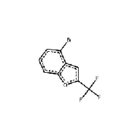 FC(F)(F)c1cc2c(Br)cccc2o1